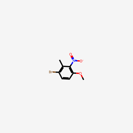 COc1ccc(Br)c(C)c1[N+](=O)[O-]